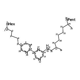 CCCCCCOCCCCc1ccc(-c2cncc([SiH2]CC(C)CCCCCC(C)CCCCC)n2)nc1